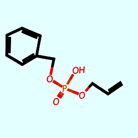 C=CCOP(=O)(O)OCc1ccccc1